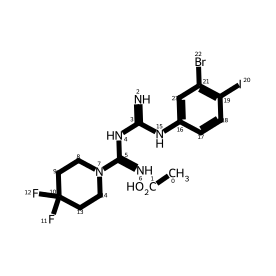 CC(=O)O.N=C(NC(=N)N1CCC(F)(F)CC1)Nc1ccc(I)c(Br)c1